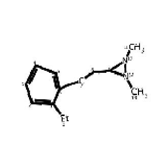 CCc1ccccc1CCC1N(C)N1C